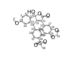 COc1ccc(C2(O)OC(=O)C(c3ccc4c(c3)OCO4)=C2Cc2ccc(S(C)(=O)=O)cc2)cc1